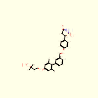 Cc1cc(OCCC(C)(C)O)cc(C)c1-c1cccc(COc2ccc(C3CC(=O)N[S+]3[O-])cc2)c1